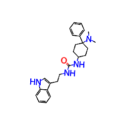 CN(C)C1(c2ccccc2)CCC(NC(=O)NCCc2c[nH]c3ccccc23)CC1